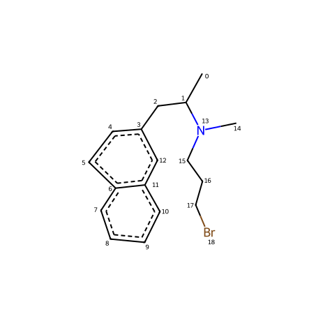 CC(Cc1ccc2ccccc2c1)N(C)CCCBr